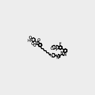 O=C1CCC(N2C(=O)c3ccc(CCCCCCCN4CCC(n5cc(-c6cnc7cccc(-c8cc(F)c(CN9CCOCC9)c(F)c8)c7n6)cn5)CC4)cc3C2=O)C(=O)N1